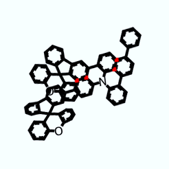 c1ccc(-c2ccc(-c3ccccc3N(c3ccc(-c4ccc5c(c4)C4(c6ccccc6Oc6ccccc64)c4ccccc4-5)cc3)c3ccccc3-c3ccc4c(c3)-c3ccccc3C43c4ccccc4Oc4ccccc43)cc2)cc1